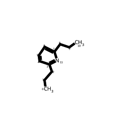 CCCc1cccc(CCC)n1